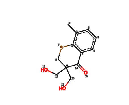 Cc1cccc2c1SCC(CO)(CO)C2=O